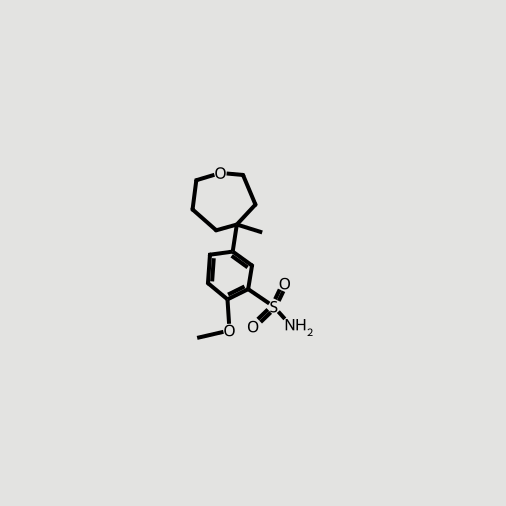 COc1ccc(C2(C)CCCOCC2)cc1S(N)(=O)=O